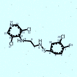 Fc1ccc(SNCCNc2c(Cl)cncc2Cl)cc1Cl